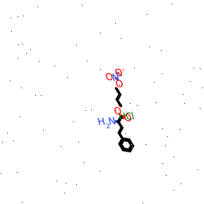 Cl.NC(CCc1ccccc1)C(=O)OCCCCO[N+](=O)[O-]